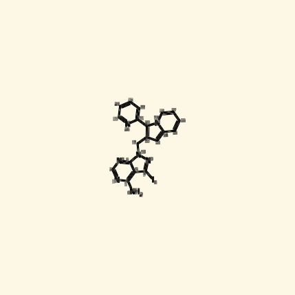 Nc1ncnc2c1c(I)nn2Cc1cc2ccccn2c1-c1ccccn1